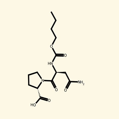 CCCCOC(=O)N[C@@H](CC(N)=O)C(=O)N1CCC[C@H]1C(=O)O